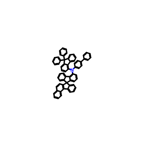 c1ccc(-c2ccc(N(c3cccc4c3-c3ccccc3C4(c3ccccc3)c3ccccc3)c3cccc4c3-c3ccccc3C43c4ccccc4-c4c3ccc3ccccc43)cc2)cc1